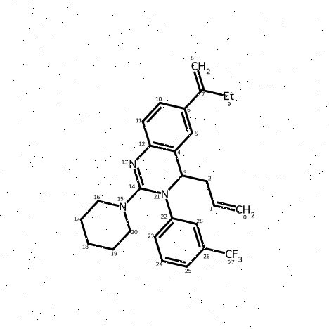 C=CCC1c2cc(C(=C)CC)ccc2N=C(N2CCCCC2)N1c1cccc(C(F)(F)F)c1